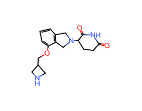 O=C1CCC(N2Cc3cccc(OCC4CNC4)c3C2)C(=O)N1